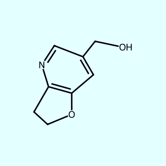 OCc1cnc2c(c1)OCC2